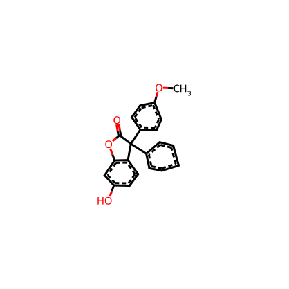 COc1ccc(C2(c3ccccc3)C(=O)Oc3cc(O)ccc32)cc1